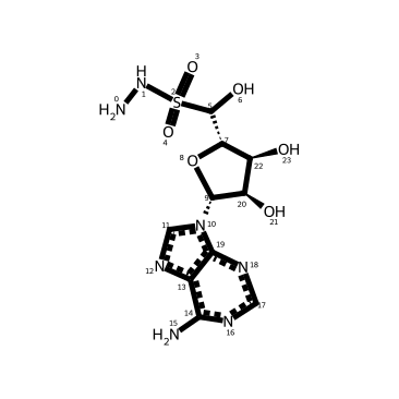 NNS(=O)(=O)C(O)[C@H]1O[C@@H](n2cnc3c(N)ncnc32)[C@H](O)[C@@H]1O